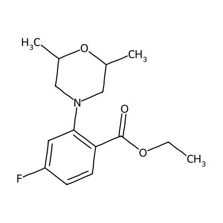 CCOC(=O)c1ccc(F)cc1N1CC(C)OC(C)C1